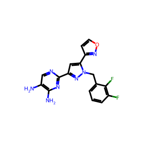 Nc1cnc(-c2cc(-c3ccon3)n(Cc3cccc(F)c3F)n2)nc1N